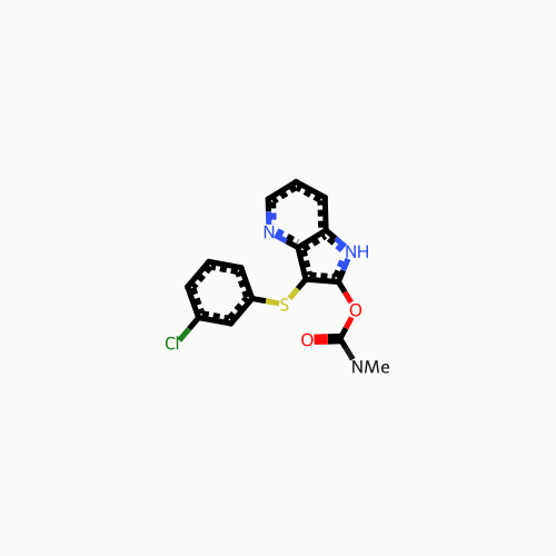 CNC(=O)Oc1[nH]c2cccnc2c1Sc1cccc(Cl)c1